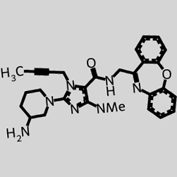 CC#CCn1c(N2CCCC(N)C2)nc(NC)c1C(=O)NCC1=Nc2ccccc2Oc2ccccc21